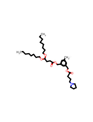 [CH2]c1cc(COC(=O)CCCN2CCCC2)cc(COC(=O)CCC(OCCCCCCCC)OCCCCCCCC)c1